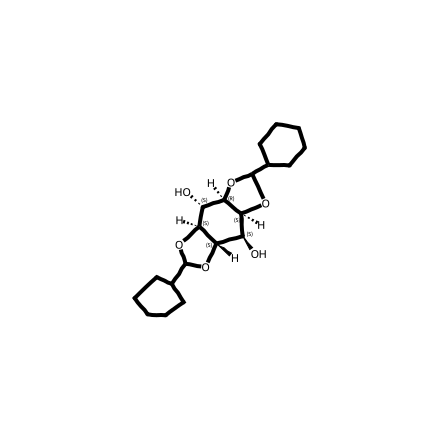 O[C@@H]1[C@H]2OC(C3CCCCC3)O[C@H]2[C@@H](O)[C@@H]2OC(C3CCCCC3)O[C@@H]12